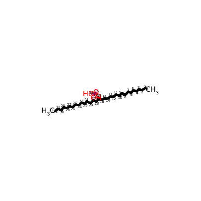 CCCCCCCC/C=C/CCCCCCCC(CCCCCCCCCCCCCCCC)OP(=O)(O)O